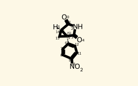 O=C1NC(=O)[C@@]2(c3ccc([N+](=O)[O-])cc3)C[C@@H]12